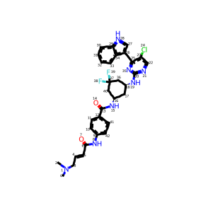 CN(C)C/C=C/C(=O)Nc1ccc(C(=O)N[C@H]2C[C@@H](Nc3ncc(Cl)c(-c4c[nH]c5ccccc45)n3)CC(F)(F)C2)cc1